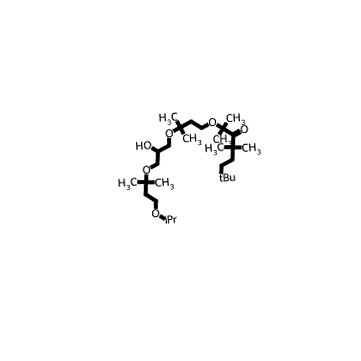 CC(C)OCCC(C)(C)OCC(O)COC(C)(C)CCOC(C)(C)C(=O)C(C)(C)CCC(C)(C)C